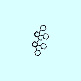 c1cc(Pc2cccc(C3CCCCC3)c2C2CCCCC2)c(C2CCCCC2)c(C2CCCCC2)c1